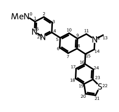 CNc1ccc(-c2ccc3c(c2)CN(C)CC3c2ccc3ccsc3c2)nn1